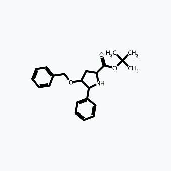 CC(C)(C)OC(=O)C1CC(OCc2ccccc2)C(c2ccccc2)N1